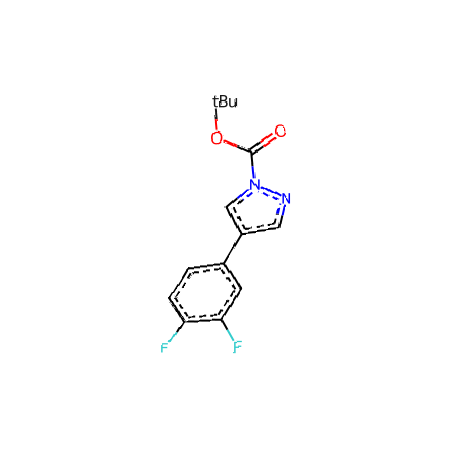 CC(C)(C)OC(=O)n1cc(-c2ccc(F)c(F)c2)cn1